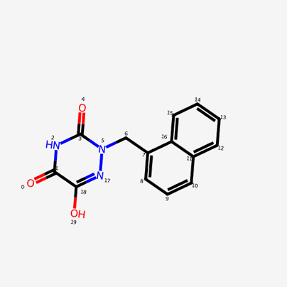 O=c1[nH]c(=O)n(Cc2cccc3ccccc23)nc1O